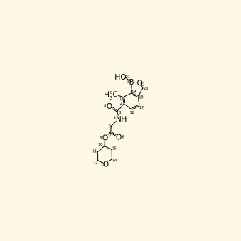 Cc1c(C(=O)NCC(=O)OC2CCOCC2)ccc2c1B(O)OC2